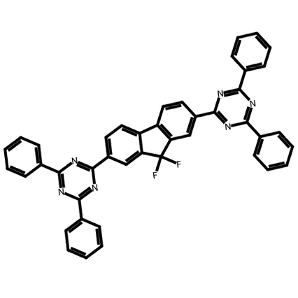 FC1(F)c2cc(-c3nc(-c4ccccc4)nc(-c4ccccc4)n3)ccc2-c2ccc(-c3nc(-c4ccccc4)nc(-c4ccccc4)n3)cc21